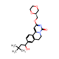 CC(C)(C)CC(O)c1ccc2c(c1)CCn1c-2cc(OC[C@@H]2COCCO2)nc1=O